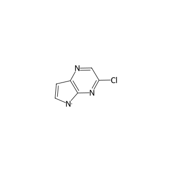 Clc1cnc2c(n1)[N]C=C2